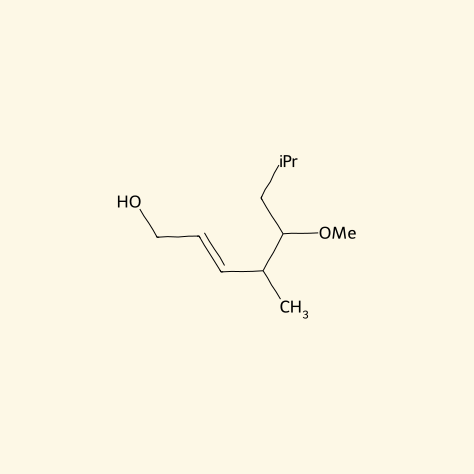 COC(CC(C)C)C(C)/C=C/CO